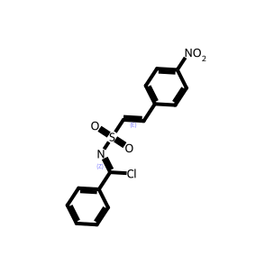 O=[N+]([O-])c1ccc(/C=C/S(=O)(=O)/N=C(\Cl)c2ccccc2)cc1